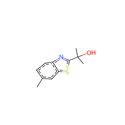 Cc1ccc2nc(C(C)(C)O)sc2c1